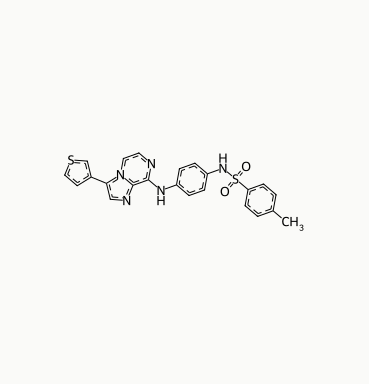 Cc1ccc(S(=O)(=O)Nc2ccc(Nc3nccn4c(-c5ccsc5)cnc34)cc2)cc1